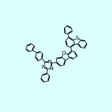 c1ccc(-c2ccc(-c3nc(-c4ccccc4)nc(-c4ccc5c(c4)oc4c(-c6ccc(-c7ccccc7)c7sc8ccccc8c67)cccc45)n3)cc2)cc1